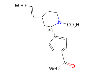 COC=CC1CCN(C(=O)O)[C@H](c2ccc(C(=O)OC)cc2)C1